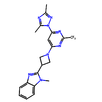 Cc1nc(C)n(-c2cc(N3CC(c4nc5ccccc5n4C)C3)nc(C(F)(F)F)n2)n1